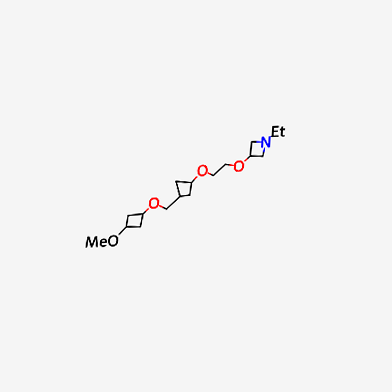 CCN1CC(OCCOC2CC(COC3CC(OC)C3)C2)C1